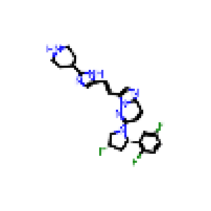 Fc1ccc(F)c([C@H]2C[C@H](F)CN2c2ccc3ncc(/C=C/c4cnc(C5CCNCC5)[nH]4)n3n2)c1